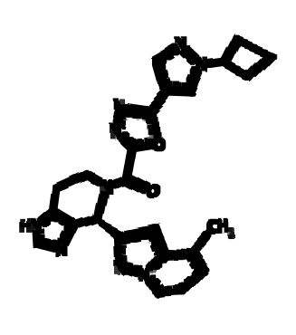 Cc1cccn2nc([C@H]3c4nc[nH]c4CCN3C(=O)c3nnc(-c4cnn(C5CCC5)c4)o3)cc12